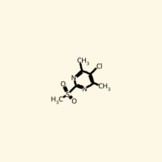 Cc1nc(S(C)(=O)=O)nc(C)c1Cl